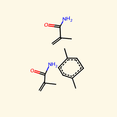 C=C(C)C(N)=O.C=C(C)C(N)=O.Cc1ccc(C)cc1